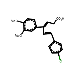 COc1ccc(C(C=Cc2ccc(Cl)cc2)=CCC(=O)O)cc1OC